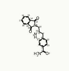 NC(=O)c1ccc(C[C@H](N)CN2C(=O)c3ccccc3C2=O)cc1